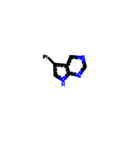 CC(C)c1c[nH]c2ncncc12